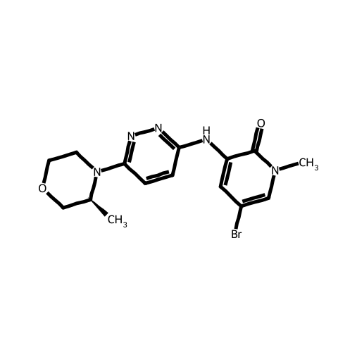 C[C@H]1COCCN1c1ccc(Nc2cc(Br)cn(C)c2=O)nn1